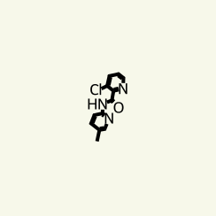 Cc1ccc(NC(=O)c2ncccc2Cl)nc1